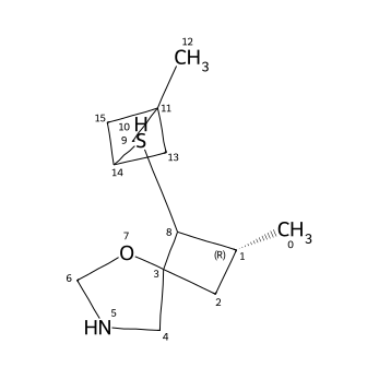 C[C@@H]1CC2(CNCO2)C1[SH]1CC2(C)CC1C2